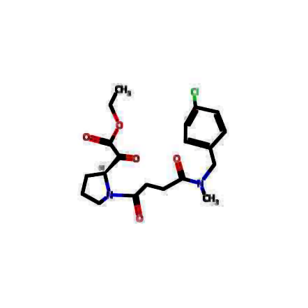 CCOC(=O)C(=O)[C@@H]1CCCN1C(=O)CCC(=O)N(C)Cc1ccc(Cl)cc1